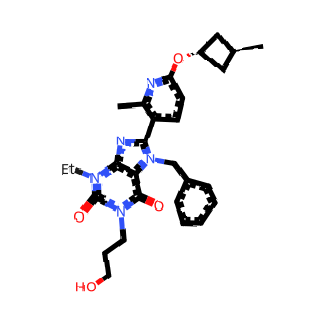 CCn1c(=O)n(CCCO)c(=O)c2c1nc(-c1ccc(O[C@H]3C[C@H](C)C3)nc1C)n2Cc1ccccc1